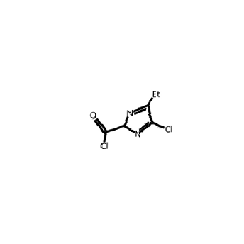 CCC1=NC(C(=O)Cl)N=C1Cl